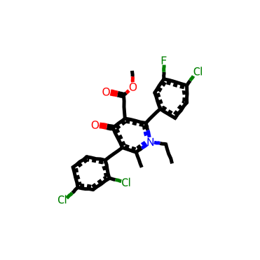 CCn1c(C)c(-c2ccc(Cl)cc2Cl)c(=O)c(C(=O)OC)c1-c1ccc(Cl)c(F)c1